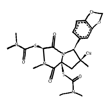 CN(C)C(=O)S[C@H]1C(=O)N2[C@@H](c3ccc4c(c3)OCO4)[C@@](C)(C#N)C[C@]2(SC(=O)N(C)C)C(=O)N1C